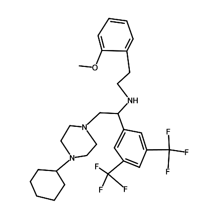 COc1ccccc1CCNC(CN1CCN(C2CCCCC2)CC1)c1cc(C(F)(F)F)cc(C(F)(F)F)c1